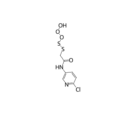 O=C(CSSOOO)Nc1ccc(Cl)nc1